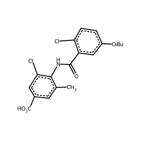 Cc1cc(C(=O)O)cc(Cl)c1NC(=O)c1cc(OCC(C)C)ccc1Cl